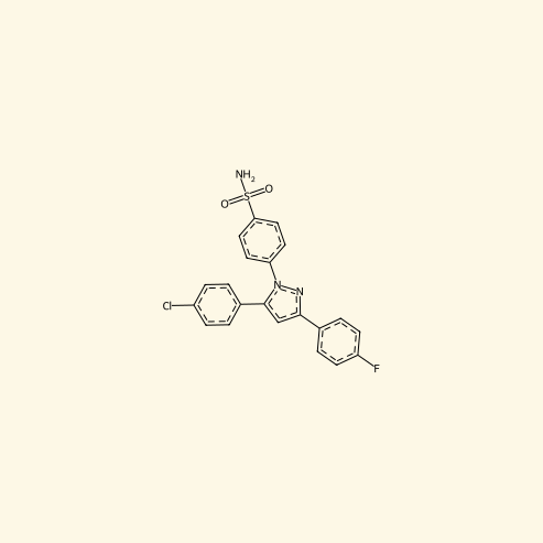 NS(=O)(=O)c1ccc(-n2nc(-c3ccc(F)cc3)cc2-c2ccc(Cl)cc2)cc1